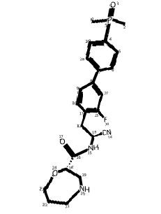 CP(C)(=O)c1ccc(-c2ccc(C[C@@H](C#N)NC(=O)[C@@H]3CNCCCO3)c(F)c2)cc1